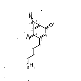 CCCCCC1=CC(=O)C2=C(C1=O)[N+]2=[N-]